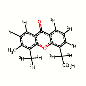 [2H]c1c([2H])c([2H])c2c(=O)c3c([2H])c([2H])c(C)c(C([2H])([2H])[2H])c3oc2c1C([2H])([2H])C(=O)O